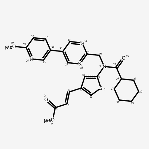 COC(=O)/C=C/c1csc(N(Cc2ncc(-c3ccc(OC)nc3)cn2)C(=O)C2CCCCC2)c1